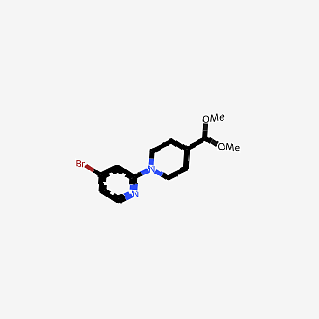 COC(OC)C1CCN(c2cc(Br)ccn2)CC1